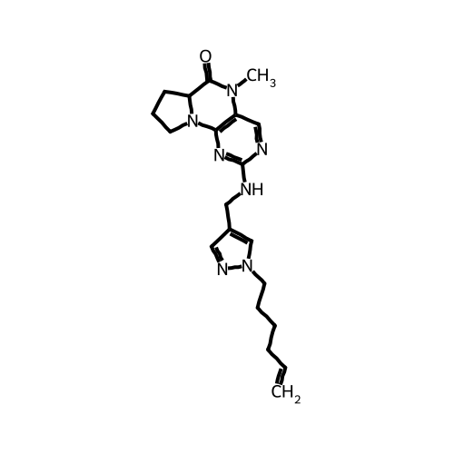 C=CCCCCn1cc(CNc2ncc3c(n2)N2CCCC2C(=O)N3C)cn1